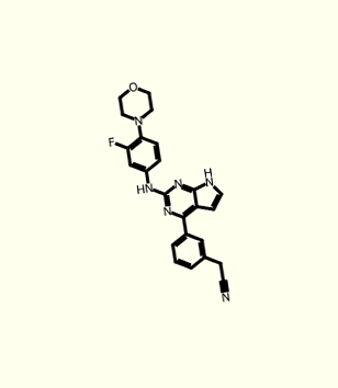 N#CCc1cccc(-c2nc(Nc3ccc(N4CCOCC4)c(F)c3)nc3[nH]ccc23)c1